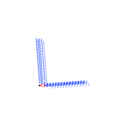 CO.N.N.N.N.N.N.N.N.N.N.N.N.N.N.N.N.N.N.N.N.N.N.N.N.N.N.N.N.N.N